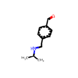 CC(C)NCc1ccc(C=O)cc1